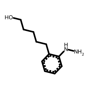 NNc1ccccc1CCCCCO